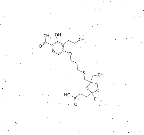 CCCc1c(OCCCSCC2(CC)COC(C)(CCC(=O)O)S2)ccc(C(C)=O)c1O